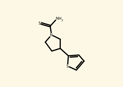 NC(=S)N1CCC(c2cccs2)C1